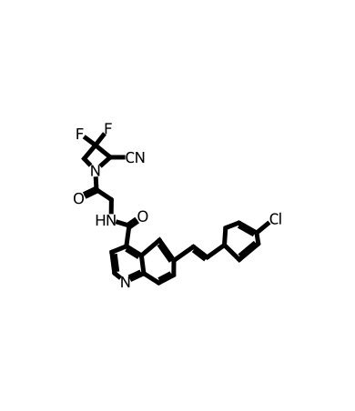 N#CC1N(C(=O)CNC(=O)c2ccnc3ccc(/C=C/C4C=CC(Cl)=CC4)cc23)CC1(F)F